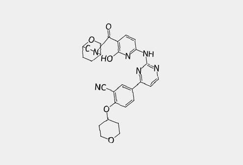 N#Cc1cc(-c2ccnc(Nc3ccc(C(=O)N4CC5CCC4CO5)c(O)n3)n2)ccc1OC1CCOCC1